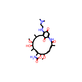 COC1/C=C\C=C(/C)C(=O)NC2=CC(=O)C(NCCN(C)C)=C(CC(C)CC(OC)C(O)C(C)/C=C(\C)C1OC(N)=O)C2=O